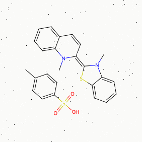 CN1C(=C2Sc3ccccc3N2C)C=Cc2ccccc21.Cc1ccc(S(=O)(=O)O)cc1